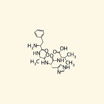 CC(C)[C@H](NC(=O)[C@H](Cc1c[nH]cn1)NC(=O)[C@H](C)NC(=O)[C@@H](N)Cc1ccccc1)C(=O)O